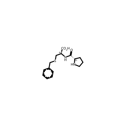 O=C(O)[C@H](CSCc1ccccc1)NC(=O)[C@@H]1CCCN1